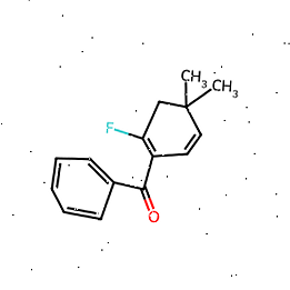 CC1(C)C=CC(C(=O)c2ccccc2)=C(F)C1